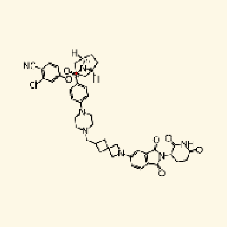 N#Cc1ccc(O[C@H]2C[C@H]3CC[C@@H](C2)N3C(=O)c2ccc(N3CCN(CC4CC5(C4)CN(c4ccc6c(c4)C(=O)N(C4CCC(=O)NC4=O)C6=O)C5)CC3)cc2)cc1Cl